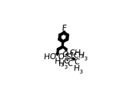 CC(C)(C)[Si](C)(C)OCC(=CC(=O)O)c1ccc(F)cc1